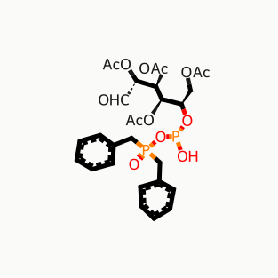 CC(=O)OC[C@@H](OP(O)OP(=O)(Cc1ccccc1)Cc1ccccc1)[C@@H](OC(C)=O)[C@H](OC(C)=O)[C@H](C=O)OC(C)=O